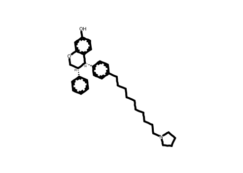 Oc1ccc2c(c1)OC[C@@H](c1ccccc1)[C@H]2c1ccc(CCCCCCCCCCN2CCCC2)cc1